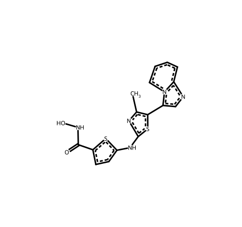 Cc1nc(Nc2ccc(C(=O)NO)s2)sc1-c1cnc2ccccn12